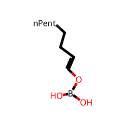 CCCCCCCC=COB(O)O